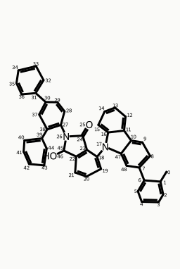 Cc1ccccc1-c1ccc2c3ccccc3n(-c3cccc4c3C(=O)N(c3ccc(-c5ccccc5)cc3-c3ccccc3)C4O)c2c1